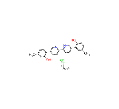 Cc1ccc(-c2ccc(-c3ccc(-c4cc(C)ccc4O)cn3)nc2)c(O)c1.[Cl-].[Cl-].[Cl-].[Mn+3]